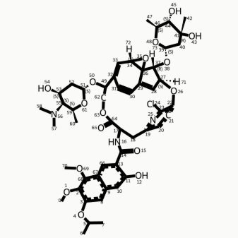 COc1c(OC(C)C)cc2cc(O)c(C(=O)NC3Cc4ccc(c(Cl)n4)O[C@H]4C=C5C#CC(=C[C@@H]6OC56[C@@H]4O[C@H]4C[C@@](C)(O)[C@@H](O)[C@H](C)O4)C(O[C@H]4C[C@H](O)[C@H](N(C)C)[C@H](C)O4)COC3=O)cc2c1OC